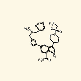 CCS(=O)(=O)N1CCC(c2c[nH]c3c(C(N)=O)cc(-c4csc(CN(C)Cc5ccncn5)c4)cc23)CC1